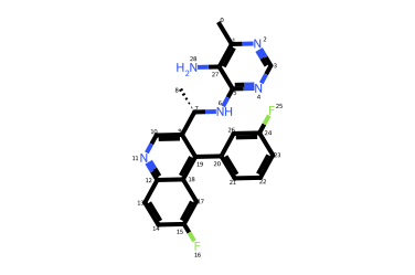 Cc1ncnc(N[C@@H](C)c2cnc3ccc(F)cc3c2-c2cccc(F)c2)c1N